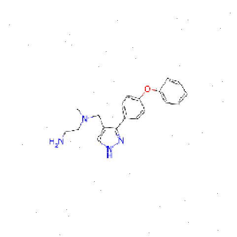 CN(CCN)Cc1c[nH]nc1-c1ccc(Oc2ccccc2)cc1